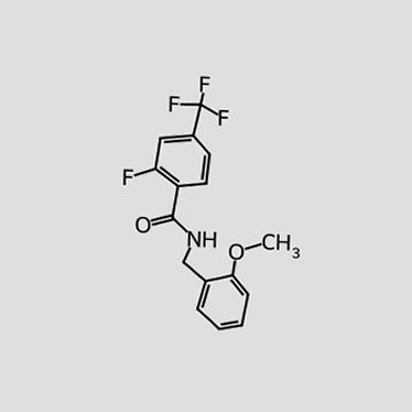 COc1ccccc1CNC(=O)c1ccc(C(F)(F)F)cc1F